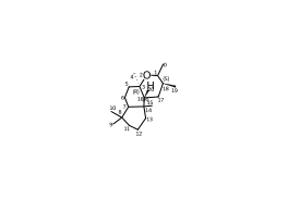 CC1O[C@]2(C)CCC3C(C)(C)CCCC3(C)[C@H]2C[C@@H]1C